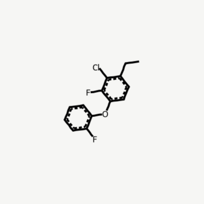 CCc1ccc(Oc2ccccc2F)c(F)c1Cl